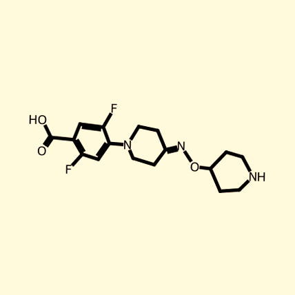 O=C(O)c1cc(F)c(N2CCC(=NOC3CCNCC3)CC2)cc1F